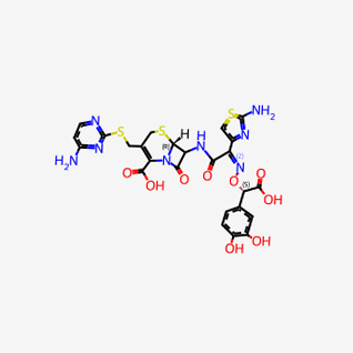 Nc1ccnc(SCC2=C(C(=O)O)N3C(=O)C(NC(=O)/C(=N\O[C@H](C(=O)O)c4ccc(O)c(O)c4)c4csc(N)n4)[C@H]3SC2)n1